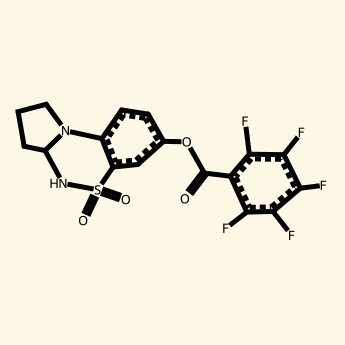 O=C(Oc1ccc2c(c1)S(=O)(=O)NC1CCCN21)c1c(F)c(F)c(F)c(F)c1F